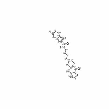 CC(C)C1NCOC1C(=O)N1CCC(CCCCNC(=O)c2cc3c([nH]2)CCN(C)C3)CC1